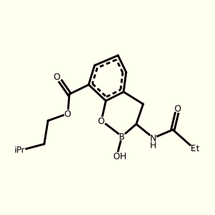 CCC(=O)NC1Cc2cccc(C(=O)OCCC(C)C)c2OB1O